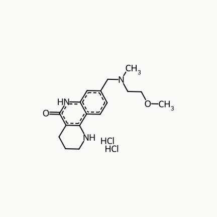 COCCN(C)Cc1ccc2c3c(c(=O)[nH]c2c1)CCCN3.Cl.Cl